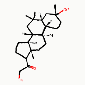 CC1(C)C[C@@H]2[C@H](CC[C@]3(C)[C@@H](C(=O)CO)CC[C@@H]23)[C@H]2CC[C@@](C)(O)C[C@H]21